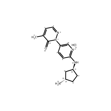 Cc1ccnn(-c2ccc(N[C@H]3CC[C@H](N)C3)nc2)c1=O.Cl